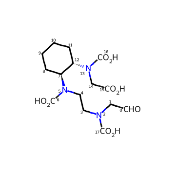 O=CCN(CCN(C(=O)O)[C@H]1CCCC[C@@H]1N(CC(=O)O)C(=O)O)C(=O)O